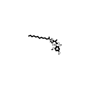 CCCCCCCCCCCC(C)n1nnc(C(C)C(=O)Nc2c(OC)cc(OC)cc2OC)n1